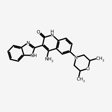 CC1CN(c2ccc3[nH]c(=O)c(-c4nc5ccccc5[nH]4)c(N)c3c2)CC(C)O1